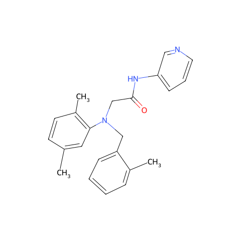 Cc1ccc(C)c(N(CC(=O)Nc2cccnc2)Cc2ccccc2C)c1